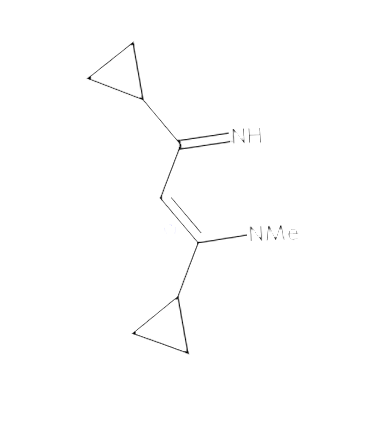 CN/C(=C\C(=N)C1CC1)C1CC1